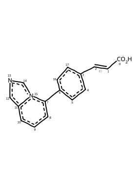 O=C(O)/C=C/c1ccc(-c2cccc3cncn23)cc1